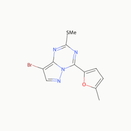 CSc1nc(-c2ccc(C)o2)n2ncc(Br)c2n1